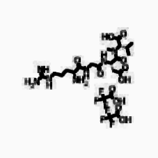 CC(C)[C@@H](C(=O)O)N(C)C(=O)[C@H](CC(=O)O)NC(=O)CNC(=O)[C@@H](N)CCCNC(=N)N.O=C(O)C(F)(F)F.O=C(O)C(F)(F)F